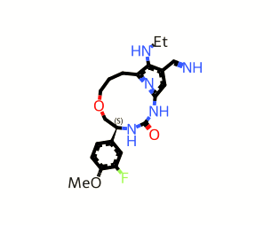 CCNc1c(C=N)cc2nc1CCCOC[C@H](c1ccc(OC)c(F)c1)NC(=O)N2